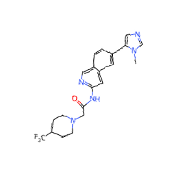 Cn1cncc1-c1ccc2cnc(NC(=O)CN3CCC(C(F)(F)F)CC3)cc2c1